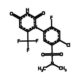 CN(C)S(=O)(=O)c1cc(-n2c(C(F)(F)F)cc(=O)[nH]c2=O)c(F)cc1Cl